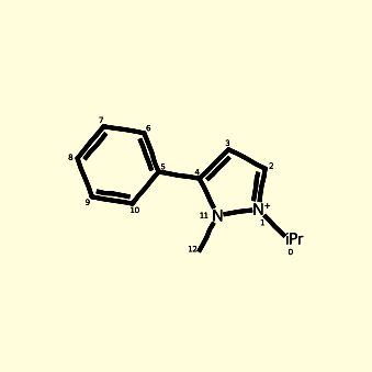 CC(C)[n+]1ccc(-c2ccccc2)n1C